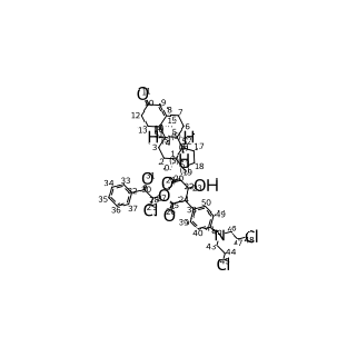 C[C@]12CC[C@H]3[C@@H](CCC4=CC(=O)CC[C@@]43C)[C@@H]1CC[C@@H]2C(=O)C(O)C(C(=O)OC(Cl)C(=O)c1ccccc1)c1ccc(N(CCCl)CCCl)cc1